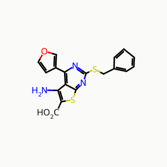 Nc1c(C(=O)O)sc2nc(SCc3ccccc3)nc(-c3ccoc3)c12